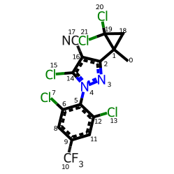 CC1(c2nn(-c3c(Cl)cc(C(F)(F)F)cc3Cl)c(Cl)c2C#N)CC1(Cl)Cl